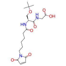 CC(C)(C)OC[C@H](NC(=O)CCCCCN1C(=O)C=CC1=O)C(=O)NCC(=O)O